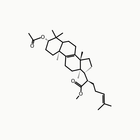 COC(=O)[C@H](CCC=C(C)C)[C@H]1CC[C@@]2(C)C3=C(CC[C@]12C)[C@@]1(C)CC[C@H](OC(C)=O)C(C)(C)C1CC3